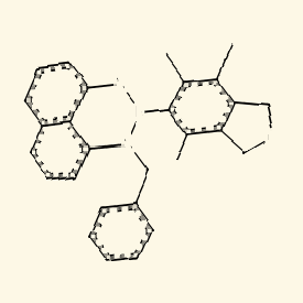 Cc1c(C)c(B2Nc3cccc4cccc(c34)N2Cc2ccccc2)c(C)c2c1COC2